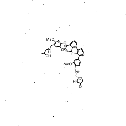 COc1cc(-c2nccc(-c3cccc4c3CCC[C@H]4Oc3nc(OC)c(CNCC(C)O)cc3C(F)(F)F)c2Cl)ccc1CNC[C@@H]1CCC(=O)N1